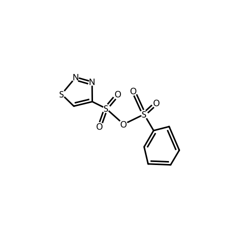 O=S(=O)(OS(=O)(=O)c1csnn1)c1ccccc1